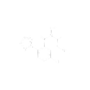 CCC(CN)N(C)C(=O)c1cc(Cl)ccc1-n1nccn1